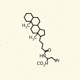 CC(C)CC(NC(=O)CCCC1CCC2C3CCC4CCCCC4(C)C3CCC12C)C(=O)O